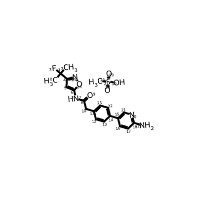 CC(C)(F)c1cc(NC(=O)Cc2ccc(-c3ccc(N)nc3)cc2)on1.CS(=O)(=O)O